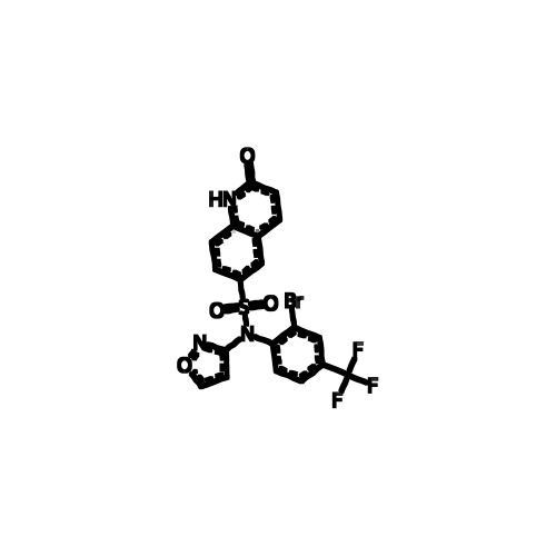 O=c1ccc2cc(S(=O)(=O)N(c3ccon3)c3ccc(C(F)(F)F)cc3Br)ccc2[nH]1